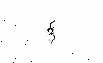 CCn1cc(CI)cn1